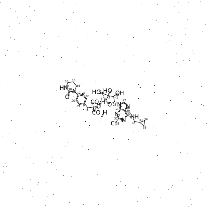 C#C[C@@]1(O)[C@@H](COC(Cc2ccc(N3CCCNC3=O)cc2)(C(=O)O)C(=O)O)O[C@@H](n2cnc3c(NCC4CC4)nc(Cl)nc32)[C@@H]1O